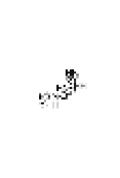 CNc1c(C(=O)Nc2cc(NCc3ccnc(C(C)(C)C)c3)ccc2C)cnc2[nH]ccc12